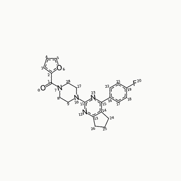 O=C(c1ccco1)N1CCN(c2nc3c(c(-c4ccc(F)cc4)n2)CCC3)CC1